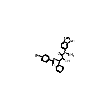 CC(C)c1ccc(C(=O)NC(c2ccccc2)C(O)C(=O)N(N)c2ccc3nc[nH]c3c2)cc1